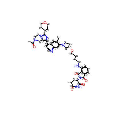 CC(=O)N1CCn2c(C3CCOCC3)nc(-c3ccnc4cc(N5CC[C@H](OCCCCNc6cccc7c6C(=O)N(C6CCC(=O)NC6=O)C7=O)C5)c(C)cc34)c2C1